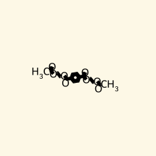 CC(=O)OCCOC(=O)c1ccc(C(=O)OCCOC(C)=O)cc1